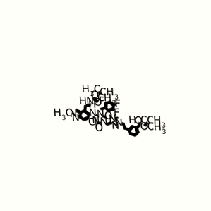 Cn1cc2c(CCNC(=O)OC(C)(C)C)c(Nc3nc(=O)n(Cc4ncn(CCc5cccc(C(=O)OC(C)(C)C)c5)n4)c(=O)n3Cc3cc(F)c(F)cc3F)c(Cl)cc2n1